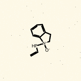 C=CP[N+]1([O-])CCc2ccccc21